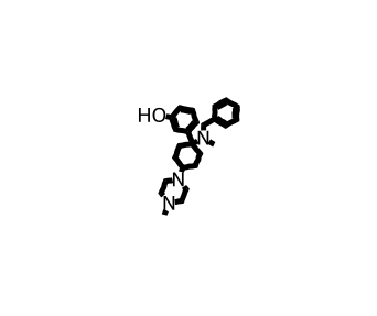 CN1CCN(C2CCC(c3cccc(O)c3)(N(C)Cc3ccccc3)CC2)CC1